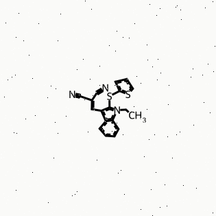 CCn1c(Sc2cccs2)c(C=C(C#N)C#N)c2ccccc21